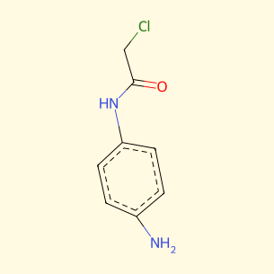 Nc1ccc(NC(=O)CCl)cc1